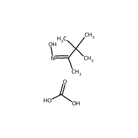 CC(=NO)C(C)(C)C.O=C(O)O